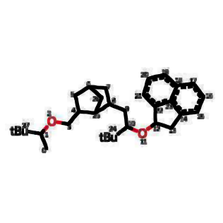 CC(OCC1CC2CC(CC(OC3Cc4cccc5cccc3c45)C(C)(C)C)C1C2)C(C)(C)C